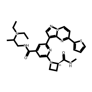 CCN(CC)C(C)CNC(=O)c1cc(-c2cnn3ccc(-c4cccs4)nc23)nc(N2CC[C@@H]2C(=O)NC)c1